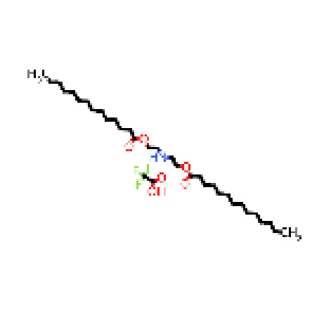 CCCCCCCCCCCCCC(=O)OCCNCCOC(=O)CCCCCCCCCCCCC.O=C(O)C(F)(F)F